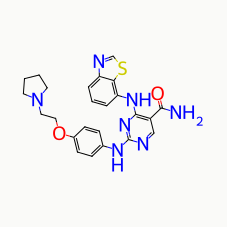 NC(=O)c1cnc(Nc2ccc(OCCN3CCCC3)cc2)nc1Nc1cccc2ncsc12